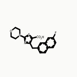 O=C(O)c1sc(N2CCOCC2)nc1Cc1ccc2ccc(F)cc2c1